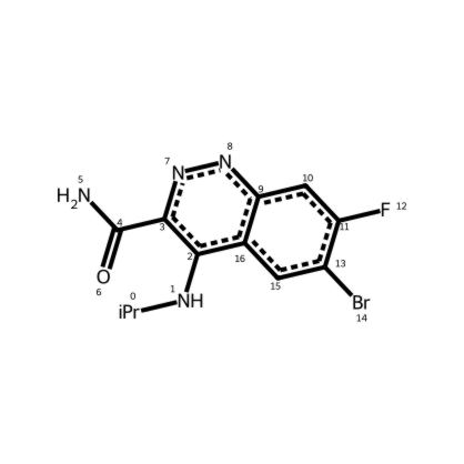 CC(C)Nc1c(C(N)=O)nnc2cc(F)c(Br)cc12